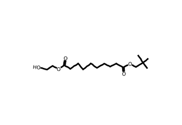 CC(C)(C)COC(=O)CCCCCCCCC(=O)OCCO